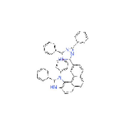 c1ccc(C2Nc3ccc4ccc5ccc(C6NC(c7ccccc7)N7C(c8ccccc8)N67)cc5c4c3N2c2ccccc2)cc1